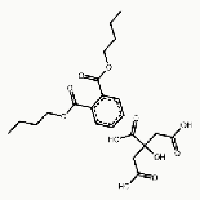 CCCCOC(=O)c1ccccc1C(=O)OCCCC.O=C(O)CC(O)(CC(=O)O)C(=O)O